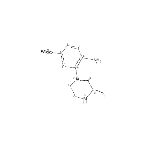 COc1ccc(N)c(N2CCNC(C)C2)c1